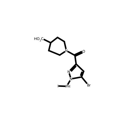 O=C(O)C1CCN(C(=O)c2cc(Br)n(PI)n2)CC1